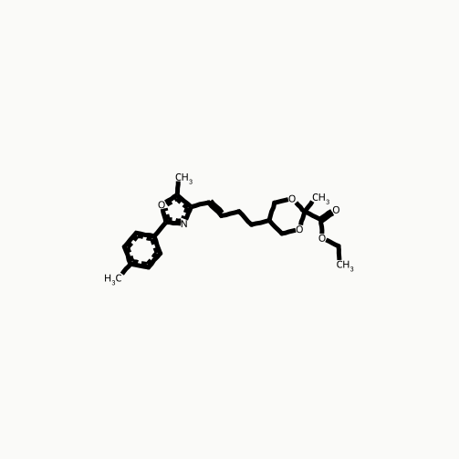 CCOC(=O)C1(C)OCC(CCC=Cc2nc(-c3ccc(C)cc3)oc2C)CO1